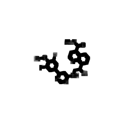 CCC(CNc1cc(-c2cc(F)c(OC(C)C)c(F)c2)ncn1)c1cccc2c(C(=O)NC)ccnc12